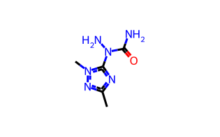 Cc1nc(N(N)C(N)=O)n(C)n1